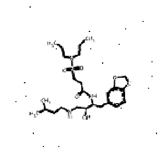 CCCN(CCC)S(=O)(=O)CCC(=O)N[C@@H](Cc1ccc2c(c1)OCO2)[C@@H](O)CNCCC(C)C